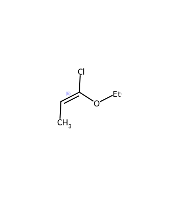 C[CH]O/C(Cl)=C\C